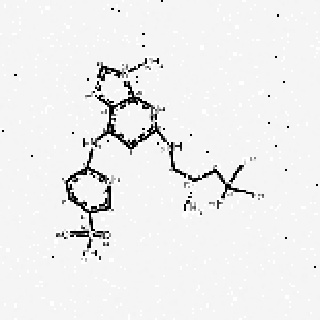 C[C@H](CNc1cc(Nc2ccc(S(C)(=O)=O)cn2)c2ncn(C)c2n1)CC(F)(F)F